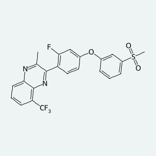 Cc1nc2cccc(C(F)(F)F)c2nc1-c1ccc(Oc2cccc(S(C)(=O)=O)c2)cc1F